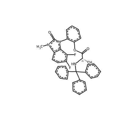 C[C@H](NC(c1ccccc1)(c1ccccc1)c1ccccc1)C(=O)Oc1ccccc1-n1c(=O)n(C)c2ccc(F)c(F)c21